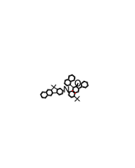 CC(C)(C)c1ccc(N(c2ccc3c(c2)C(C)(C)c2cc4ccccc4cc2-3)c2ccc3ccccc3c2-c2cccc3c2oc2ccccc23)cc1